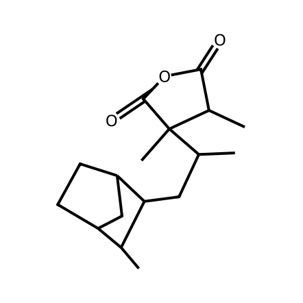 CC1C2CCC(C2)C1CC(C)C1(C)C(=O)OC(=O)C1C